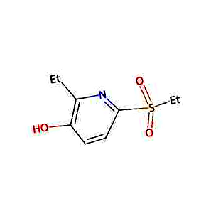 CCc1nc(S(=O)(=O)CC)ccc1O